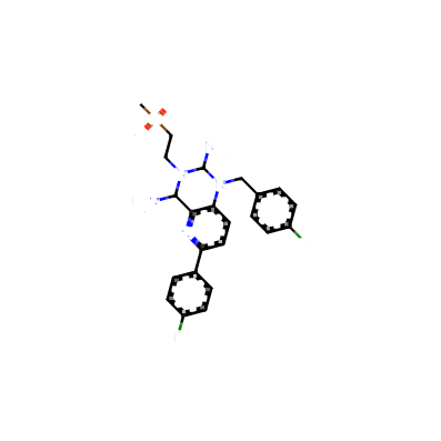 CS(=O)(=O)CCN1C(N)c2nc(-c3ccc(F)cc3)ccc2N(Cc2ccc(F)cc2)C1N